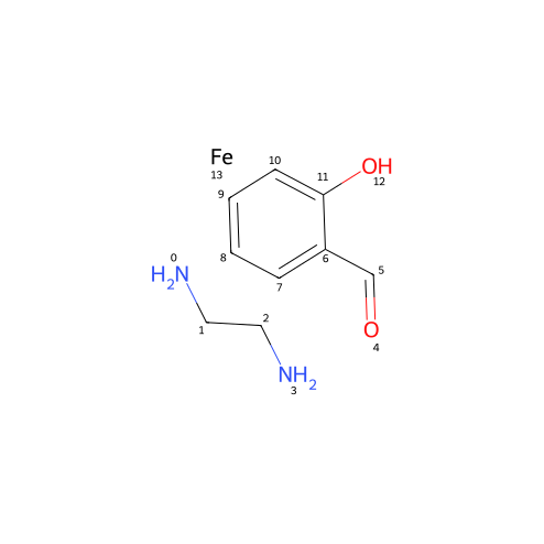 NCCN.O=Cc1ccccc1O.[Fe]